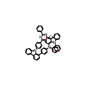 Cc1nc(-c2ccccc2)nc(-c2ccc(-n3c4ccccc4c4cccc(-c5ccc(N(c6ccccc6)c6cccc7c8ccccc8n(-c8ccccc8)c67)cc5)c43)cc2)n1